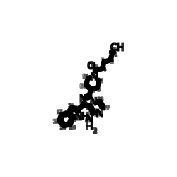 C#CCCCC(=O)N1CCC(c2nc(-c3cc4ccccc4[nH]3)c3c(N)nccn23)CC1